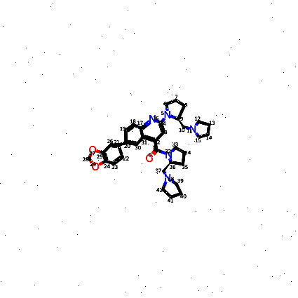 O=C(c1cc(N2CCC[C@H]2CN2CCCC2)nc2ccc(-c3ccc4c(c3)OCO4)cc12)N1CCC[C@H]1CN1CCCC1